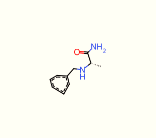 C[C@H](NCc1ccccc1)C(N)=O